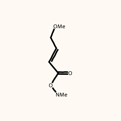 CNOC(=O)/C=C/COC